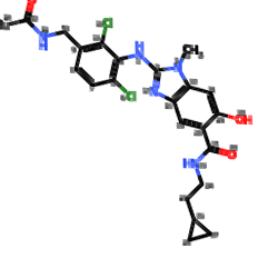 Cn1c(Nc2c(Cl)ccc(CNC(=O)C(C)(C)C)c2Cl)nc2cc(C(=O)NCCC3CC3)c(O)cc21